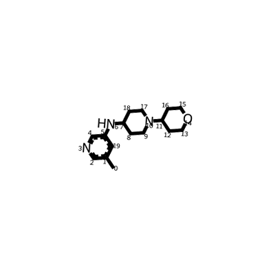 Cc1cncc(NC2CCN(C3CCOCC3)CC2)c1